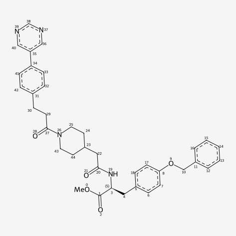 COC(=O)[C@H](Cc1ccc(OCc2ccccc2)cc1)NC(=O)CC1CCN(C(=O)CCc2ccc(-c3cncnc3)cc2)CC1